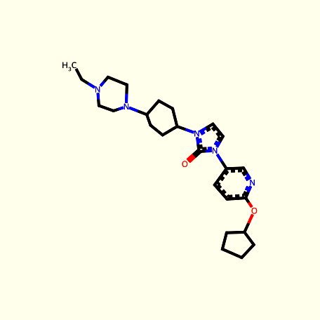 CCN1CCN(C2CCC(n3ccn(-c4ccc(OC5CCCC5)nc4)c3=O)CC2)CC1